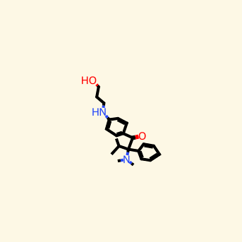 CC(C)C(C(=O)c1ccc(NCCCO)cc1)(c1ccccc1)N(C)C